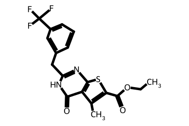 CCOC(=O)c1sc2nc(Cc3cccc(C(F)(F)F)c3)[nH]c(=O)c2c1C